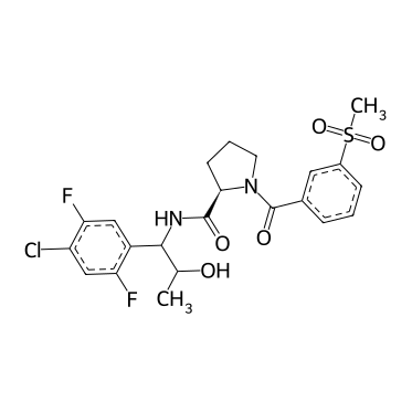 CC(O)C(NC(=O)[C@H]1CCCN1C(=O)c1cccc(S(C)(=O)=O)c1)c1cc(F)c(Cl)cc1F